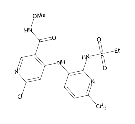 CCS(=O)(=O)Nc1nc(C)ccc1Nc1cc(Cl)ncc1C(=O)NOC